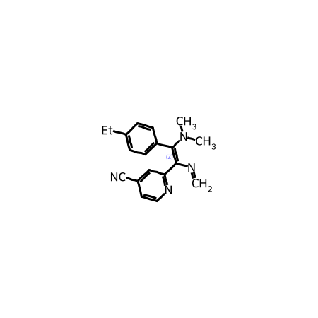 C=N/C(=C(/c1ccc(CC)cc1)N(C)C)c1cc(C#N)ccn1